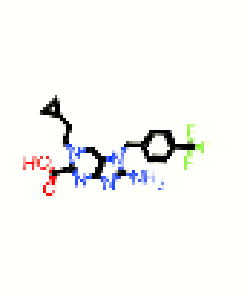 Nc1nc2c(n1Cc1ccc(C(F)(F)F)cc1)CN(CCC1CC1)C(C(=O)O)=N2